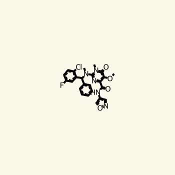 COc1c(C(=O)Nc2cnoc2)nc(N(C)C(c2ccccc2)c2cc(F)ccc2Cl)n(C)c1=O